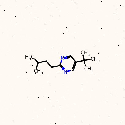 CC(C)CCc1ncc(C(C)(C)C)cn1